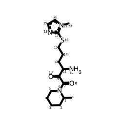 CC1CCCCN1C(=O)C(=O)C(N)CCCSc1nccn1C